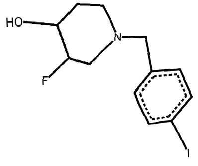 OC1CCN(Cc2ccc(I)cc2)CC1F